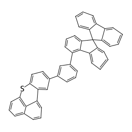 c1cc(-c2ccc3c(c2)-c2cccc4cccc(c24)S3)cc(-c2cccc3c2-c2ccccc2C32c3ccccc3-c3ccccc32)c1